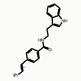 CC(C)/C=C/c1ccc(C(=O)NCCc2c[nH]c3ccccc23)cc1